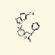 C[C@]1(Cn2cnc3ccc(C#N)cc32)CCC[C@@]2(CN(Cc3ccccc3)C(=O)O2)C1